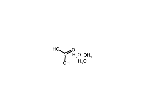 O.O.O.O=S(O)O